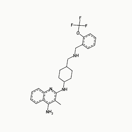 Cc1c(NC2CCC(CNCc3ccccc3OC(F)(F)F)CC2)nc2ccccc2c1N